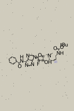 CN(C/C=C\CNC(=O)OC(C)(C)C)C[C@H]1O[C@@H](n2cnc3c(NC(=O)c4ccccc4)ncnc32)[C@H](F)[C@@H]1O